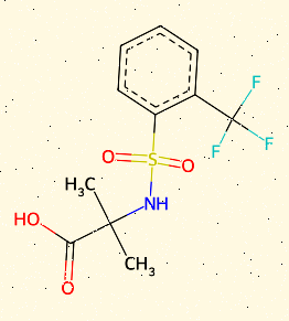 CC(C)(NS(=O)(=O)c1ccccc1C(F)(F)F)C(=O)O